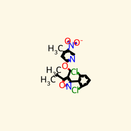 Cc1cc(OCc2c(-c3c(Cl)cccc3Cl)noc2C(C)C)ncc1[N+](=O)[O-]